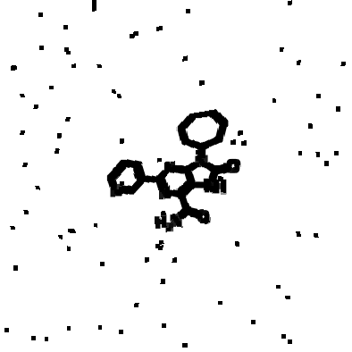 NC(=O)c1nc(-c2cccnc2)nc2c1[nH]c(=O)n2C1CCCCCC1